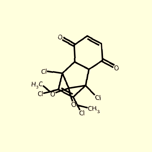 COC1(OC)C2(Cl)C(Cl)=C(Cl)C1(Cl)C1C(=O)C=CC(=O)C12